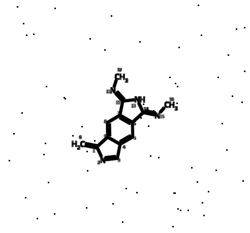 C=C1N=Cc2cc3c(cc21)/C(=N/C)N/C3=N\C